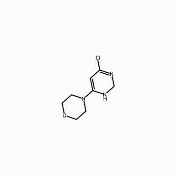 ClC1=NCNC(N2CCOCC2)=C1